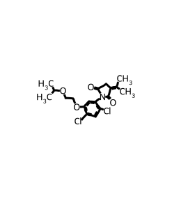 CC(C)=C1CC(=O)N(c2cc(OCCOC(C)C)c(Cl)cc2Cl)C1=O